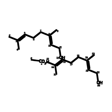 CC(=O)O.CC(C)=CCCC(C)=CCO.CC(C)=CCCC(C)=CCO